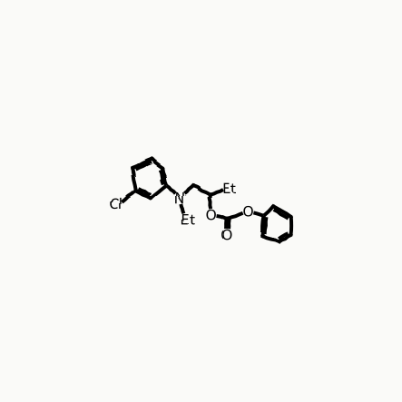 CCC(CN(CC)c1cccc(Cl)c1)OC(=O)Oc1ccccc1